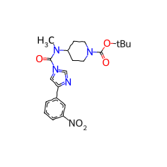 CN(C(=O)n1cnc(-c2cccc([N+](=O)[O-])c2)c1)C1CCN(C(=O)OC(C)(C)C)CC1